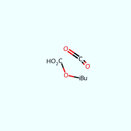 CCC(C)OC(=O)O.O=C=O